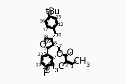 C/C=C(/C)C(=O)OC[C@H]1[C@@H](Cc2ccc(C(C)(C)C)cc2)CO[C@@H]1c1ccc(F)cc1